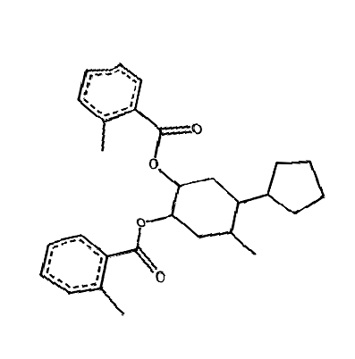 Cc1ccccc1C(=O)OC1CC(C)C(C2CCCC2)CC1OC(=O)c1ccccc1C